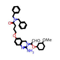 COC1CCCC(OC(C=O)N2Cc3cc(OCCCC(=O)N(Cc4ccccc4)Cc4ccccc4)ccc3N=C2N)C1